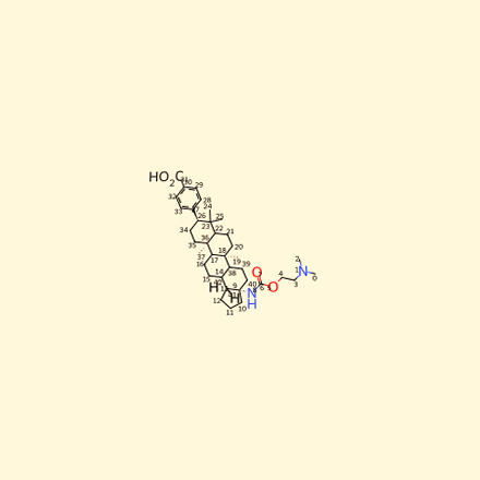 CN(C)CCOC(=O)N[C@]12CCC[C@@H]1[C@H]1CCC3[C@@](C)(CCC4C(C)(C)[C@H](c5ccc(C(=O)O)cc5)CC[C@@]43C)C1CC2